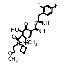 CNC1(N(CCOC)C(=O)c2[nH]cc(C(=N)SC(=N)Cc3ccc(F)cc3F)c(=O)c2O)CCC1